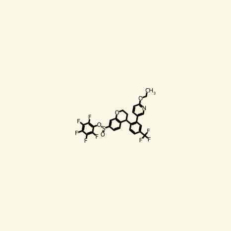 CCOc1ccc(-c2cc(C(F)(F)F)ccc2C2CCOc3cc(S(=O)Oc4c(F)c(F)c(F)c(F)c4F)ccc32)cn1